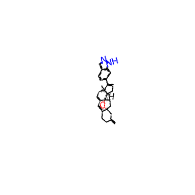 C=C1CCC2=CC3=CC[C@]4(C)C(c5ccc6cn[nH]c6c5)=CC[C@H]4[C@@]34CCC2(C1)O4